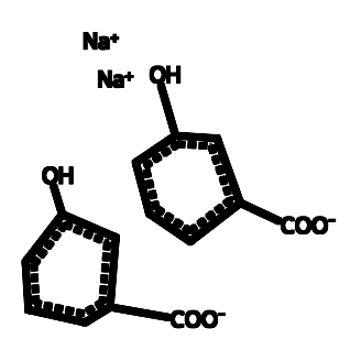 O=C([O-])c1cccc(O)c1.O=C([O-])c1cccc(O)c1.[Na+].[Na+]